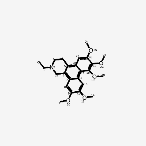 CCN1CCc2c(c3cc(OC)c(OC)cc3c3c(OC)c(OC)c(OC)cc23)C1